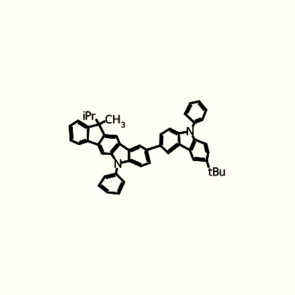 CC(C)C1(C)c2ccccc2-c2cc3c(cc21)c1cc(-c2ccc4c(c2)c2cc(C(C)(C)C)ccc2n4-c2ccccc2)ccc1n3-c1ccccc1